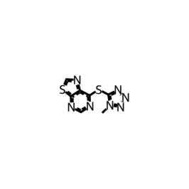 Cn1nnnc1Sc1ncnc2scnc12